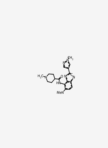 CNc1ccc2ncc(-c3cnn(C)c3)nc2c1NC(=O)C1CCN(C)CC1